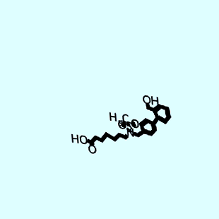 CS(=O)(=O)N(CCCCCCC(=O)O)Cc1ccc(-c2ccccc2CO)cc1